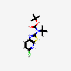 CC(C)(C)OC(=O)N(c1nc2ccc(Cl)nc2s1)C(C)(C)C